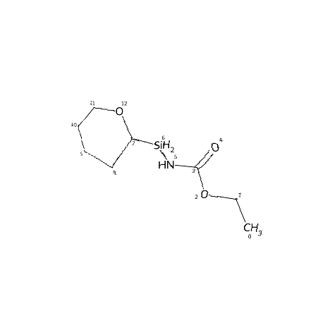 CCOC(=O)N[SiH2]C1CCCCO1